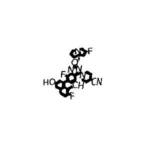 C#Cc1c(F)ccc2cc(O)cc(-c3ccc4c(N5CCC(C#N)CC5)nc(OC[C@@]56CCCN5C[C@H](F)C6)nc4c3F)c12